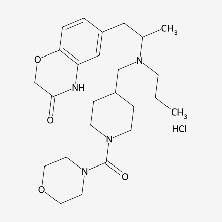 CCCN(CC1CCN(C(=O)N2CCOCC2)CC1)C(C)Cc1ccc2c(c1)NC(=O)CO2.Cl